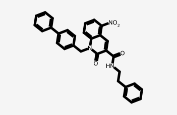 O=C(NCCc1ccccc1)c1cc2c([N+](=O)[O-])cccc2n(Cc2ccc(-c3ccccc3)cc2)c1=O